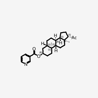 CC(=O)[C@H]1CC[C@H]2[C@@H]3CC[C@H]4C[C@H](OC(=O)c5cccnc5)CC[C@]4(C)[C@H]3CC[C@]12C